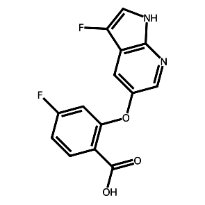 O=C(O)c1ccc(F)cc1Oc1cnc2[nH]cc(F)c2c1